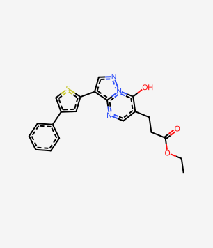 CCOC(=O)CCc1cnc2c(-c3cc(-c4ccccc4)cs3)cnn2c1O